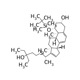 CCC(O)(CC)CCS[C@@H](C)C1=CC[C@H]2C3=CC=C4C[C@@H](O)C[C@@H](O[Si](C)(C)C(C)(C)C)[C@]4(C)[C@H]3CC[C@]12C